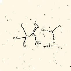 CC(Cl)Cl.CO.O=C(O)C(F)(F)F